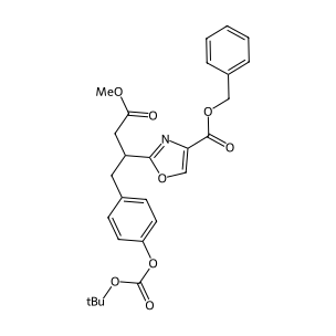 COC(=O)CC(Cc1ccc(OC(=O)OC(C)(C)C)cc1)c1nc(C(=O)OCc2ccccc2)co1